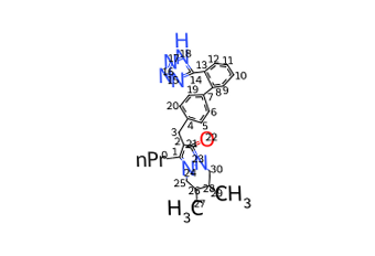 CCCc1c(Cc2ccc(-c3ccccc3-c3nnn[nH]3)cc2)c(=O)n2n1CC(C)C(C)C2